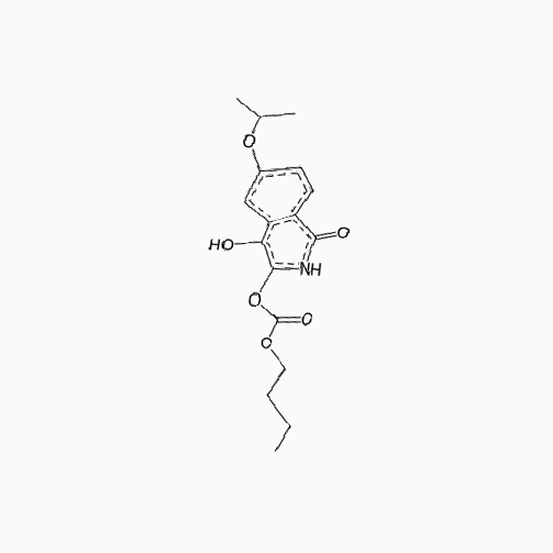 CCCCOC(=O)Oc1[nH]c(=O)c2ccc(OC(C)C)cc2c1O